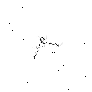 CCCCC[C@H](O)/C=C/[C@@H]1[C@@H]2C3O[C@H]1C[C@@H]3O[C@H]2/C=C/CCC(=O)O